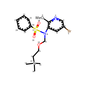 COc1ncc(Br)cc1N(COCC[Si](C)(C)C)S(=O)(=O)c1ccccc1